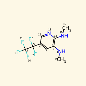 CNc1cc(C(F)(F)C(F)(F)F)cnc1NC